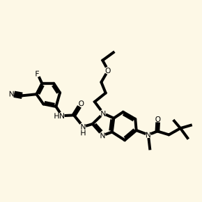 CCOCCCn1c(NC(=O)Nc2ccc(F)c(C#N)c2)nc2cc(N(C)C(=O)CC(C)(C)C)ccc21